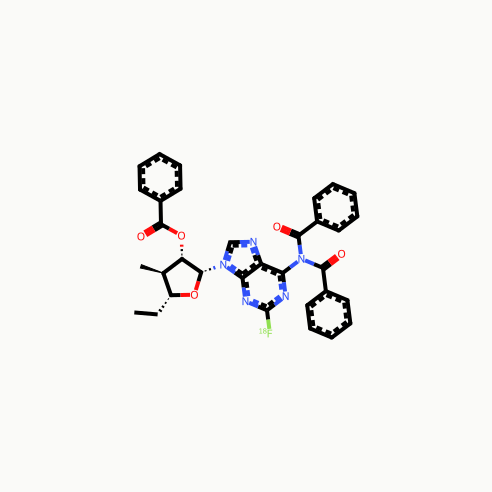 CC[C@H]1O[C@@H](n2cnc3c(N(C(=O)c4ccccc4)C(=O)c4ccccc4)nc([18F])nc32)[C@@H](OC(=O)c2ccccc2)[C@@H]1C